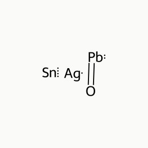 [Ag].[O]=[Pb].[Sn]